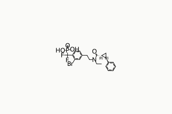 CCN(CCc1ccc(C(F)(F)P(=O)(O)O)c(Br)c1)C(=O)[C@@H]1C[C@H]1c1ccccc1